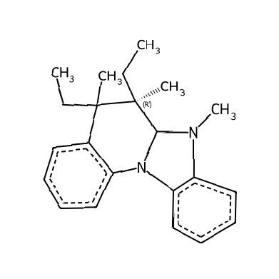 CCC1(C)c2ccccc2N2c3ccccc3N(C)C2[C@]1(C)CC